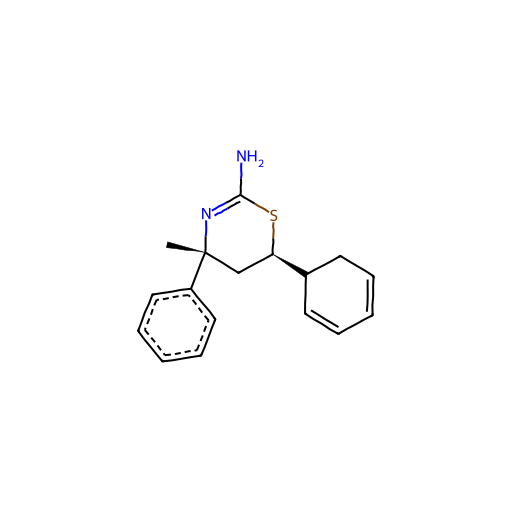 C[C@]1(c2ccccc2)C[C@H](C2C=CC=CC2)SC(N)=N1